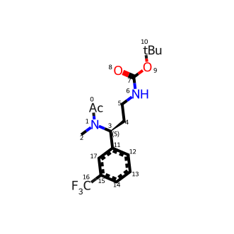 CC(=O)N(C)[C@@H](CCNC(=O)OC(C)(C)C)c1cccc(C(F)(F)F)c1